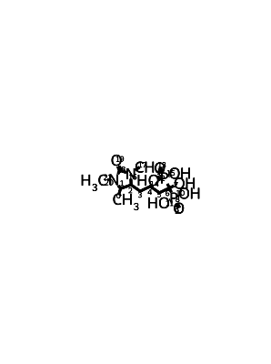 CC1C(CCCC(O)(P(=O)(O)O)P(=O)(O)O)N(C)C(=O)N1C